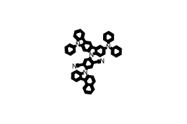 N#Cc1cc(-n2c3ccccc3c3c4ccccc4ccc32)c(C#N)cc1-n1c2ccc(N(c3ccccc3)c3ccccc3)cc2c2cc3c4ccccc4n(-c4ccccc4)c3cc21